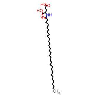 CCCCCCCCCCCCCCCCCCCCCCCCCCCCCCCC(=O)NC(CCC(=O)O)C(=O)O